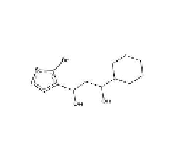 OC(CC(O)C1CCCCC1)c1ccsc1Br